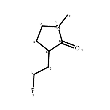 CN1CCC(CCF)C1=O